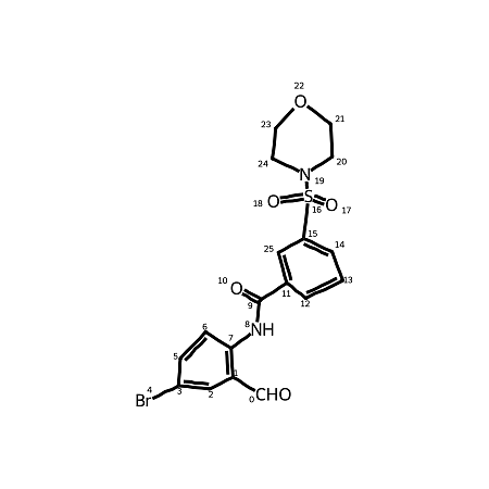 O=Cc1cc(Br)ccc1NC(=O)c1cccc(S(=O)(=O)N2CCOCC2)c1